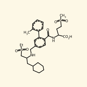 CCS(=O)(=O)CC(CC1CCCCC1)NCc1ccc(C(=O)NC(CCS(C)(=O)=O)C(=O)O)c(-c2ccccc2C)c1